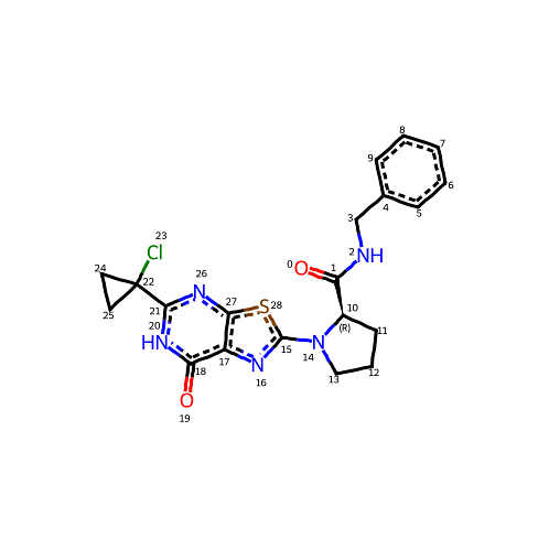 O=C(NCc1ccccc1)[C@H]1CCCN1c1nc2c(=O)[nH]c(C3(Cl)CC3)nc2s1